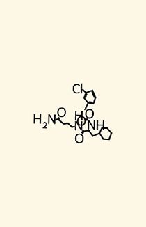 NC(=O)CCCNC(=O)C(CC1CCCCC1)NC(=O)OCc1cccc(Cl)c1